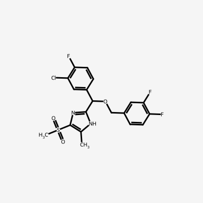 Cc1[nH]c(C(OCc2ccc(F)c(F)c2)c2ccc(F)c(Cl)c2)nc1S(C)(=O)=O